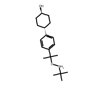 CC(C)(C)[SiH2]OC(C)(C)c1ccc([C@H]2CC[C@H](O)CC2)cc1